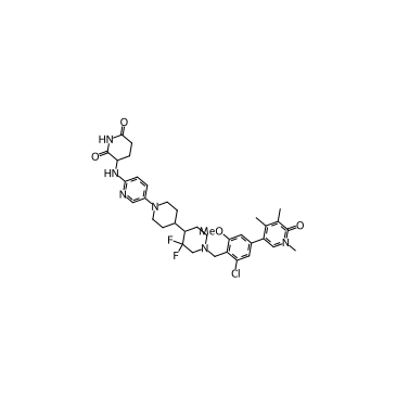 COc1cc(-c2cn(C)c(=O)c(C)c2C)cc(Cl)c1CN1CCC(C2CCN(c3ccc(NC4CCC(=O)NC4=O)nc3)CC2)C(F)(F)C1